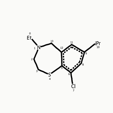 CCN1CCSc2c(Cl)cc(C(C)C)cc2C1